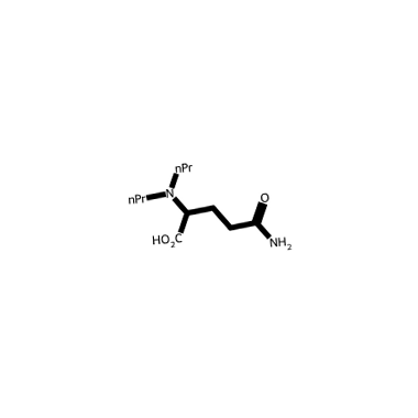 CCCN(CCC)C(CCC(N)=O)C(=O)O